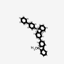 Cn1c2ccccc2c2ccc(-c3ccc4c(c3)c3ccccc3n4-c3ccc(-c4ccccc4)cc3)cc21